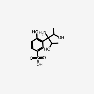 CC(O)C(N)(c1cc(S(=O)(=O)O)ccc1O)C(C)O